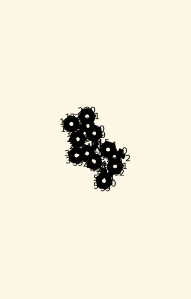 CC1(C)c2ccc(N(c3ccc4c(c3)C(c3ccccc3)(c3ccccc3)c3ccccc3-4)c3cc4ccccc4c4ccccc34)cc2-c2c1ccc1c2sc2ccccc21